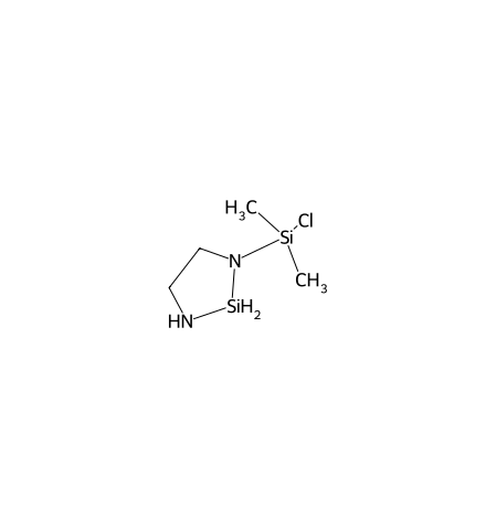 C[Si](C)(Cl)N1CCN[SiH2]1